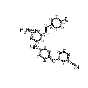 N#Cc1cc(Oc2ccc(Nc3cc(/C=C/c4ccc(F)cc4)nc(N)n3)cc2)ccn1